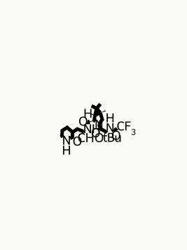 CC(C)(C)[C@H](NC(=O)C(F)(F)F)C(=O)N1C[C@@]2(C)[C@@H]([C@H]1C(=O)N[C@H](C=O)CC1CCCNC1=O)C2(C)C